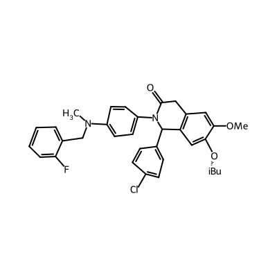 CC[C@@H](C)Oc1cc2c(cc1OC)CC(=O)N(c1ccc(N(C)Cc3ccccc3F)cc1)C2c1ccc(Cl)cc1